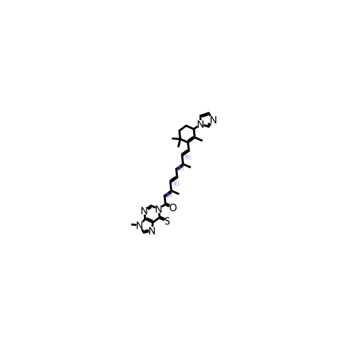 CC1=C(/C=C/C(C)=C/C=C/C(C)=C/C(=O)n2cnc3c(ncn3C)c2=S)C(C)(C)CCC1n1ccnc1